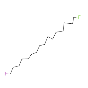 FCCCCCCCCCCCCCCCCI